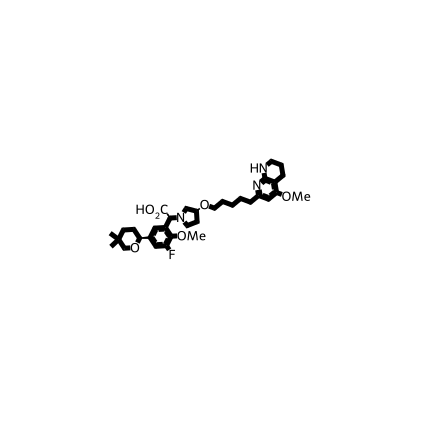 COc1cc(CCCCCO[C@@H]2CCN([C@@H](C(=O)O)c3cc([C@@H]4CCC(C)(C)CO4)cc(F)c3OC)C2)nc2c1CCCN2